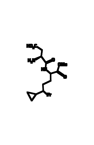 COC(=O)C(CCC(C(C)C)C1CC1)NC(=O)[C@@H](N)CC(=O)O